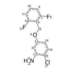 Nc1cc(OCc2c(F)cccc2F)ccc1Cl